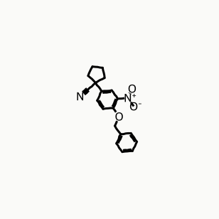 N#CC1(c2ccc(OCc3ccccc3)c([N+](=O)[O-])c2)CCCC1